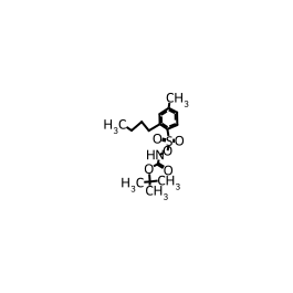 CCCCc1cc(C)ccc1S(=O)(=O)ONC(=O)OC(C)(C)C